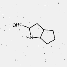 O=[C]C1CC2CCCC2N1